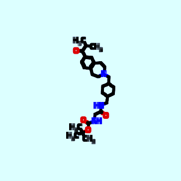 CC(C)C(=O)c1ccc2c(c1)CCN(CC1CCC(CNC(=O)CNC(=O)OC(C)(C)C)CC1)CC2